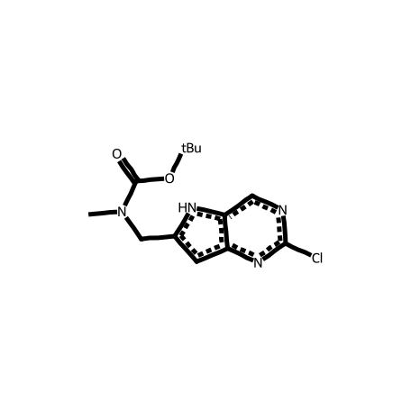 CN(Cc1cc2nc(Cl)ncc2[nH]1)C(=O)OC(C)(C)C